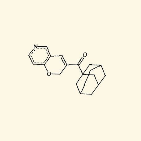 O=C(C1=Cc2cnccc2OC1)C12CC3CC(CC(C3)C1)C2